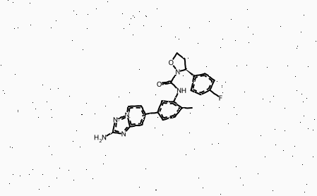 Cc1ccc(-c2ccn3nc(N)nc3c2)cc1NC(=O)N1OCC[C@H]1c1ccc(F)cc1